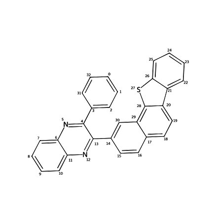 c1ccc(-c2nc3ccccc3nc2-c2ccc3ccc4c5ccccc5sc4c3c2)cc1